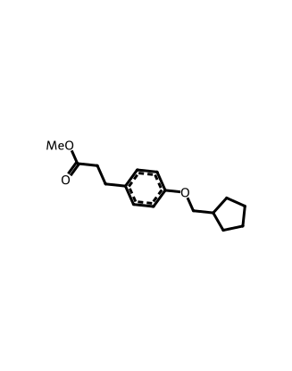 COC(=O)CCc1ccc(OCC2CCCC2)cc1